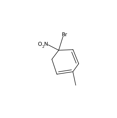 CC1=CCC(Br)([N+](=O)[O-])C=C1